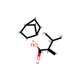 C1CC2CCC1C2.C=C(C(=O)O)C(C)C